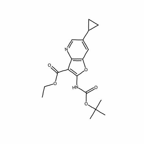 CCOC(=O)c1c(NC(=O)OC(C)(C)C)oc2cc(C3CC3)cnc12